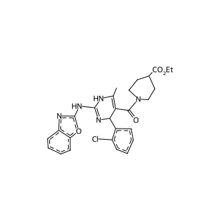 CCOC(=O)C1CCN(C(=O)C2=C(C)NC(Nc3nc4ccccc4o3)=NC2c2ccccc2Cl)CC1